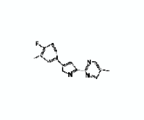 Cc1cnc(C2=NCC(c3ccc(F)c(C)c3)=C2)nc1